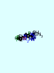 Cc1c(CC(=O)N2CCc3c2ccc(-c2nn(C(C)C)c4ncnc(N)c24)c3F)cccc1C(F)(F)F